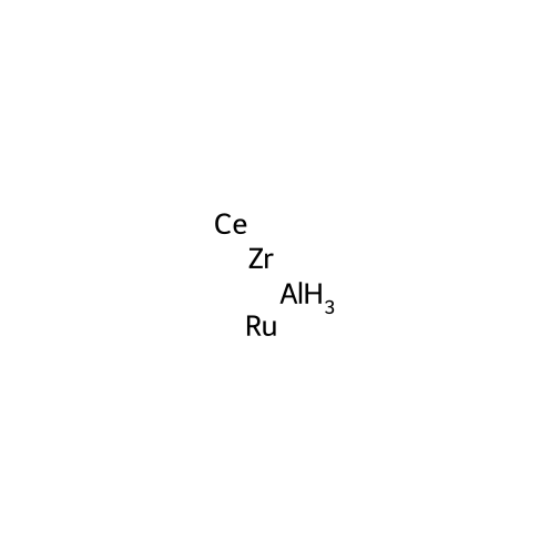 [AlH3].[Ce].[Ru].[Zr]